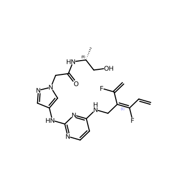 C=C/C(F)=C(/CNc1ccnc(Nc2cnn(CC(=O)N[C@H](C)CO)c2)n1)C(=C)F